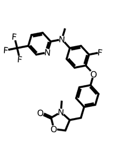 CN(c1ccc(Oc2ccc(CC3COC(=O)N3C)cc2)c(F)c1)c1ccc(C(F)(F)F)cn1